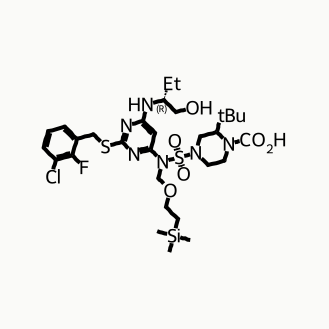 CC[C@H](CO)Nc1cc(N(COCC[Si](C)(C)C)S(=O)(=O)N2CCN(C(=O)O)C(C(C)(C)C)C2)nc(SCc2cccc(Cl)c2F)n1